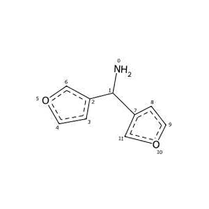 NC(c1ccoc1)c1ccoc1